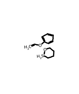 C1CC[SiH2]OC1.C=COc1ccccc1